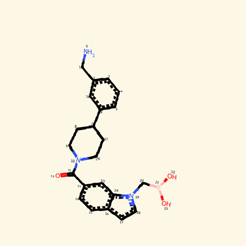 NCc1cccc(C2CCN(C(=O)c3ccc4ccn(CB(O)O)c4c3)CC2)c1